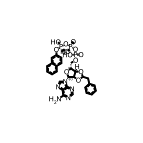 Nc1ncnc2c1ncn2[C@@H]1O[C@H](COP(=O)(O)OP(=O)(O)OP(=O)(O)Oc2ccc3ccccc3c2)[C@@H]2OC(Cc3ccccc3)OC21